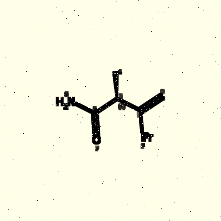 C=C(C(C)C)[C@H](C)C(N)=O